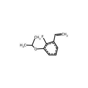 C=[C]c1cccc(OC(C)C)c1F